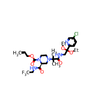 C=CCOC(=O)N1CCN(C(C)(C)C(=O)NCC(OCC)(OCC)c2ccc(Cl)cn2)C[C@H]1C(=O)NCC(F)(F)F